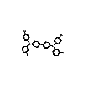 Cc1cccc(N(c2ccc(Br)cc2)c2ccc(-c3ccc(N(c4ccc(Br)cc4)c4cccc(C)c4)cc3)cc2)c1